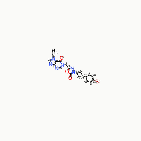 Cn1cnc2ncn(Cc3nn(C4CC(c5ccc(Br)cc5)C4)c(=O)o3)c(=O)c21